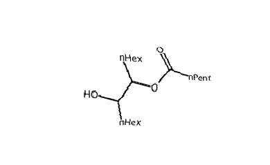 CCCCCCC(O)C(CCCCCC)OC(=O)CCCCC